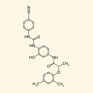 Cc1ccc(OC(C)C(=O)Nc2ccc(NC(=O)Nc3ccc(C#N)cc3)c(O)c2)c(C)c1